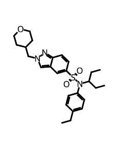 CCc1ccc(N(C(CC)CC)S(=O)(=O)c2ccc3nn(CC4CCOCC4)cc3c2)cc1